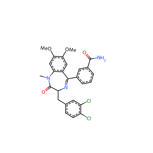 COc1cc2c(cc1OC)N(C)C(=O)C(Cc1ccc(Cl)c(Cl)c1)N=C2c1cccc(C(N)=O)c1